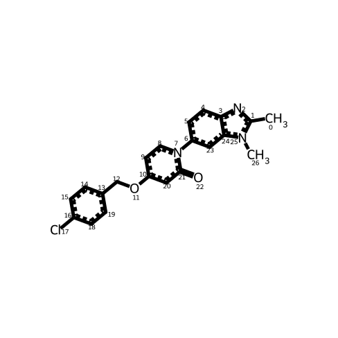 Cc1nc2ccc(-n3ccc(OCc4ccc(Cl)cc4)cc3=O)cc2n1C